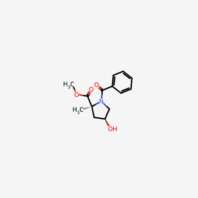 COC(=O)[C@]1(C)C[C@H](O)CN1C(=O)c1ccccc1